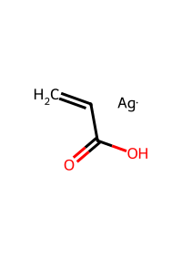 C=CC(=O)O.[Ag]